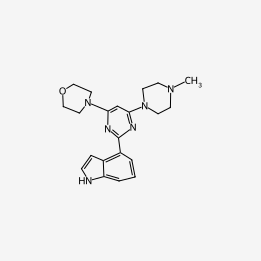 CN1CCN(c2cc(N3CCOCC3)nc(-c3cccc4[nH]ccc34)n2)CC1